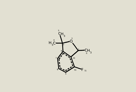 CC1OC(C)(C)c2cccc(F)c21